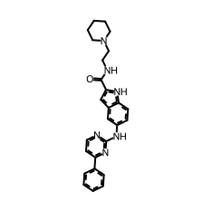 O=C(NCCN1CCCCC1)c1cc2cc(Nc3nccc(-c4ccccc4)n3)ccc2[nH]1